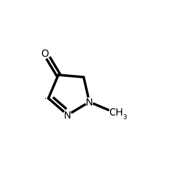 CN1CC(=O)[C]=N1